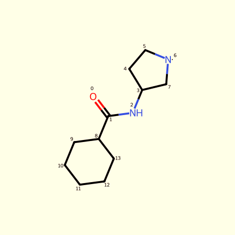 O=C(NC1CC[N]C1)C1CCCCC1